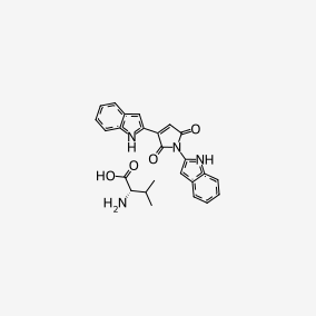 CC(C)[C@H](N)C(=O)O.O=C1C=C(c2cc3ccccc3[nH]2)C(=O)N1c1cc2ccccc2[nH]1